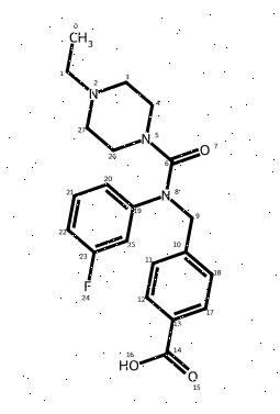 CCN1CCN(C(=O)N(Cc2ccc(C(=O)O)cc2)c2cccc(F)c2)CC1